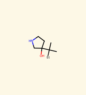 CCC(C)(C)C1(O)CCNC1